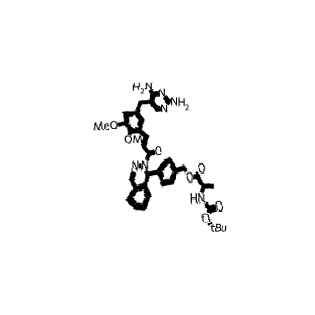 COc1cc(Cc2cnc(N)nc2N)cc(/C=C/C(=O)N2N=Cc3ccccc3C2c2ccc(COC(=O)C(C)NC(=O)OC(C)(C)C)cc2)c1OC